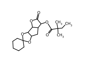 CCC(C)(C)C(=O)OC1C(=O)OC2C1CC1OC3(CCCCC3)OC12